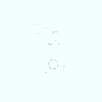 COC1COCCC1N[C@@H]1CC[C@@](C(=O)NCc2cc(C(F)(F)F)cc(C(F)(F)F)c2)(C(C)C)C1